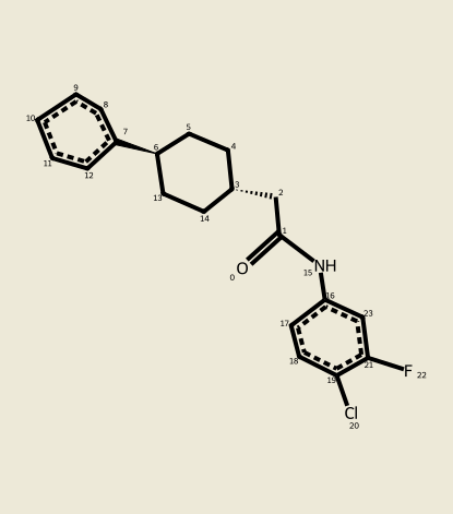 O=C(C[C@H]1CC[C@H](c2ccccc2)CC1)Nc1ccc(Cl)c(F)c1